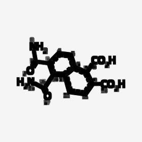 NC(=O)c1ccc2c(C(=O)O)c(C(=O)O)ccc2c1C(N)=O